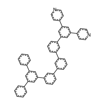 c1ccc(-c2cc(-c3ccccc3)cc(-c3cccc(-c4cccc(-c5cccc(-c6cc(-c7ccncc7)cc(-c7ccncc7)c6)c5)c4)c3)c2)cc1